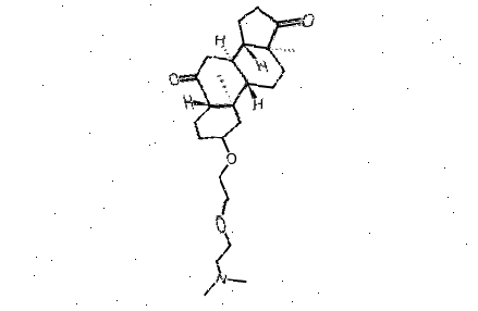 CN(C)CCOCCOC1CC[C@@H]2C(=O)C[C@@H]3[C@H](CC[C@]4(C)C(=O)CC[C@@H]34)[C@@]2(C)C1